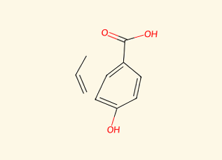 C=CC.O=C(O)c1ccc(O)cc1